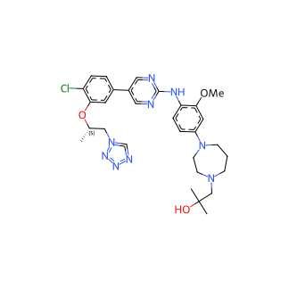 COc1cc(N2CCCN(CC(C)(C)O)CC2)ccc1Nc1ncc(-c2ccc(Cl)c(O[C@@H](C)Cn3cnnn3)c2)cn1